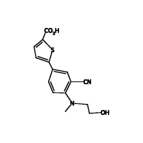 CN(CCO)c1ccc(-c2ccc(C(=O)O)s2)cc1C#N